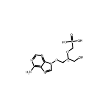 Nc1ncnc2c1ncn2OC[C@H](CO)OCP(=O)(O)O